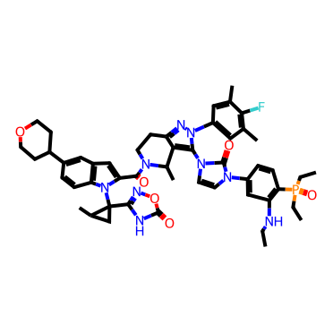 CCNc1cc(-n2ccn(-c3c4c(nn3-c3cc(C)c(F)c(C)c3)CCN(C(=O)c3cc5cc(C6CCOCC6)ccc5n3C3(c5noc(=O)[nH]5)CC3C)C4C)c2=O)ccc1P(=O)(CC)CC